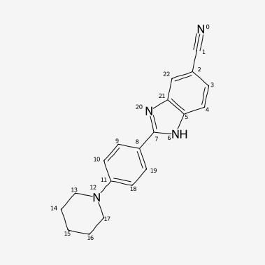 N#Cc1ccc2[nH]c(-c3ccc(N4CCCCC4)cc3)nc2c1